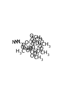 CC(=O)NC1C(OCCN=[N+]=[N-])OC(COC(C)=O)C(OC2OC(COC(C)=O)C(OC(C)=O)C(OC(C)=O)C2OC(C)=O)C1OC(C)=O